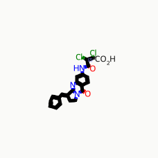 O=C(O)/C(Cl)=C(/Cl)C(=O)Nc1ccc2c(=O)n3c(nc2c1)C(=Cc1ccccc1)CC3